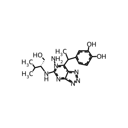 CC(c1ccc(O)c(O)c1)c1c2nnnc-2nc(N[C@@H](CO)C(C)C)n1N